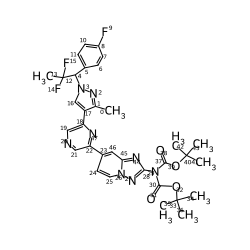 Cc1nn(C(c2ccc(F)cc2)C(C)(F)F)cc1-c1cncc(-c2ccn3nc(N(C(=O)OC(C)(C)C)C(=O)OC(C)(C)C)nc3c2)n1